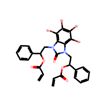 C=CC(=O)OC(Cn1c(=O)n(CC(OC(=O)C=C)c2ccccc2)c2c(Br)c(Br)c(Br)c(Br)c21)c1ccccc1